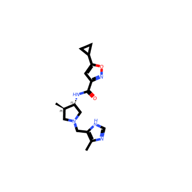 Cc1nc[nH]c1CN1C[C@@H](C)[C@H](NC(=O)c2cc(C3CC3)on2)C1